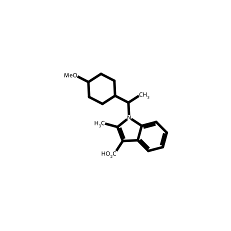 COC1CCC(C(C)n2c(C)c(C(=O)O)c3ccccc32)CC1